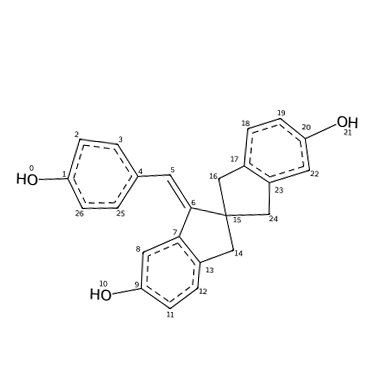 Oc1ccc(C=C2c3cc(O)ccc3CC23Cc2ccc(O)cc2C3)cc1